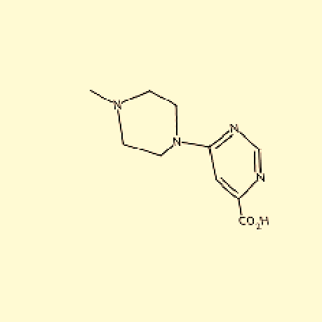 CN1CCN(c2cc(C(=O)O)ncn2)CC1